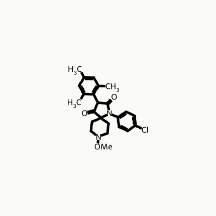 CON1CCC2(CC1)C(=O)C(c1c(C)cc(C)cc1C)C(=O)N2c1ccc(Cl)cc1